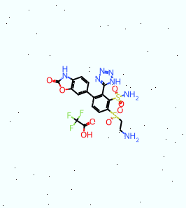 NCCS(=O)(=O)c1ccc(-c2ccc3[nH]c(=O)oc3c2)c(-c2nnn[nH]2)c1S(N)(=O)=O.O=C(O)C(F)(F)F